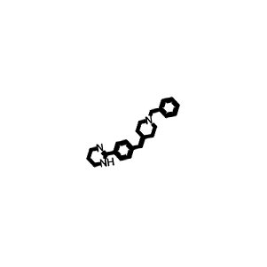 C(=C1CCN(Cc2ccccc2)CC1)c1ccc(C2=NCCCN2)cc1